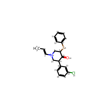 CC=CN1CC(Sc2ccccc2)C(=O)C(c2cccc(Cl)c2)C1